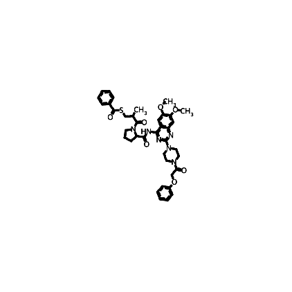 COc1cc2nc(N3CCN(C(=O)COc4ccccc4)CC3)nc(NC(=O)C3CCCN3C(=O)C(C)CSC(=O)c3ccccc3)c2cc1OC